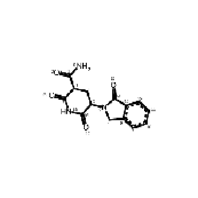 NC(=O)C1CC(N2Cc3ccccc3C2=O)C(=O)NC1=O